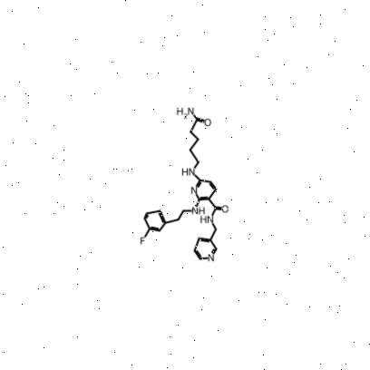 NC(=O)CCCCNc1ccc(C(=O)NCc2cccnc2)c(NCCc2cccc(F)c2)n1